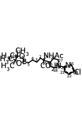 CC(=O)NC(CCCCB1OC(C)(C)C(C)(C)O1)(C(=O)O)C1CCN(c2ccc(Cl)cn2)CC1